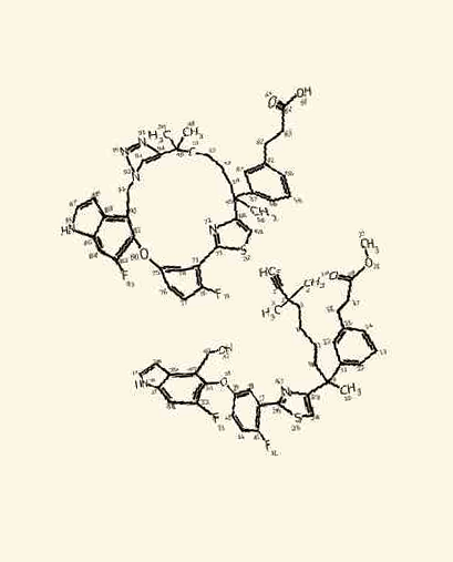 C#CC(C)(C)CCCCC(C)(c1cccc(CCC(=O)OC)c1)c1csc(-c2cc(Oc3c(F)cc4[nH]ccc4c3CO)ccc2F)n1.CC1(C)CCCCC(C)(c2cccc(CCC(=O)O)c2)c2csc(n2)-c2cc(ccc2F)Oc2c(F)cc3[nH]ccc3c2Cn2cc1nn2